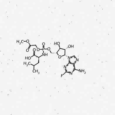 COC(=O)COP(=O)(N[C@@H](CC(C)C)C(=O)O)OC[C@H]1O[C@@H](n2cnc3c(N)nc(F)nc32)[C@@H](O)[C@@H]1O